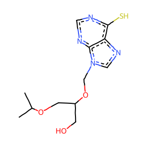 CC(C)OCC(CO)OCn1cnc2c(S)ncnc21